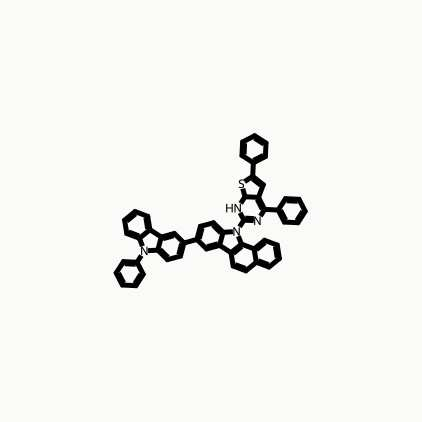 C1=C(c2ccccc2)SC2NC(n3c4ccc(-c5ccc6c(c5)c5ccccc5n6-c5ccccc5)cc4c4ccc5ccccc5c43)=NC(c3ccccc3)=C12